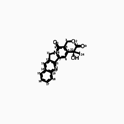 O=C1OCc2c(cc3n(c2=O)Cc2cc4ccccc4nc2-3)[C@@]1(O)I